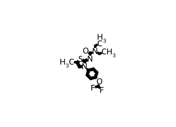 CCN(CC)C(=O)N=c1sc(C)cn1-c1ccc(OC(F)F)cc1